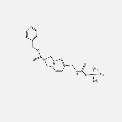 CC(C)(C)OC(=O)NCc1ccc2c(c1)CN(C(=O)OCc1ccccc1)C2